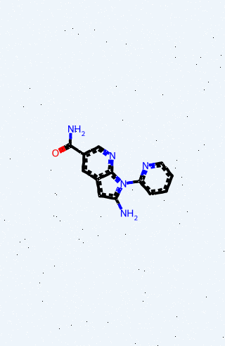 NC(=O)c1cnc2c(c1)cc(N)n2-c1ccccn1